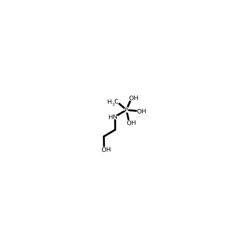 CP(O)(O)(O)NCCO